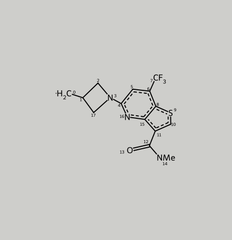 [CH2]C1CN(c2cc(C(F)(F)F)c3scc(C(=O)NC)c3n2)C1